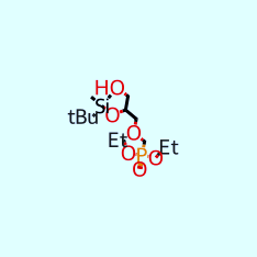 CCOP(=O)(COCC(CO)O[Si](C)(C)C(C)(C)C)OCC